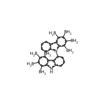 Bc1c(B)c(B)c2c([nH]c3cccc(-n4c5ccccc5c5c(B)c(B)c(B)c(B)c54)c32)c1B